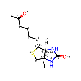 CC(=O)CCCC[C@H]1SC[C@@H]2NC(=O)N[C@@H]21